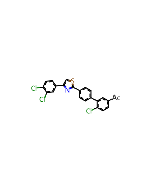 CC(=O)c1ccc(Cl)c(-c2ccc(-c3nc(-c4ccc(Cl)c(Cl)c4)cs3)cc2)c1